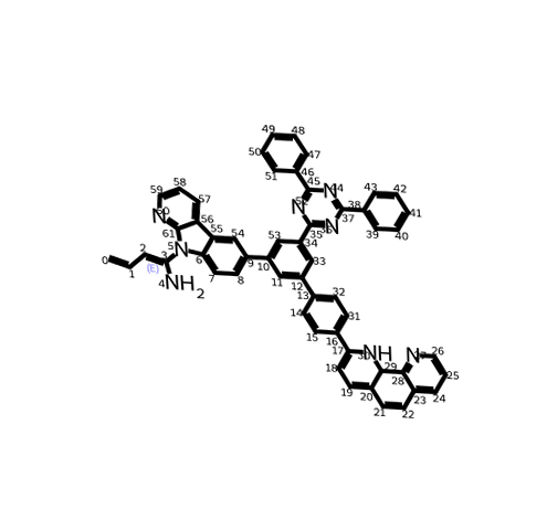 C=C/C=C(\N)n1c2ccc(-c3cc(-c4ccc(C5=CC=C6C=Cc7cccnc7C6N5)cc4)cc(-c4nc(-c5ccccc5)nc(-c5ccccc5)n4)c3)cc2c2cccnc21